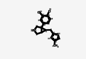 Cc1csc(CC2C3CNCC32c2ccc(Cl)c(Cl)c2)n1